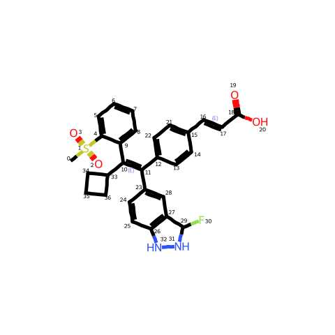 CS(=O)(=O)c1ccccc1/C(=C(\c1ccc(/C=C/C(=O)O)cc1)c1ccc2c(c1)C(F)NN2)C1CCC1